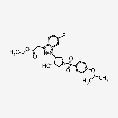 CCOC(=O)Cc1nn([C@H]2CN(S(=O)(=O)c3ccc(OC(C)C)cc3)C[C@@H]2O)c2cc(F)ccc12